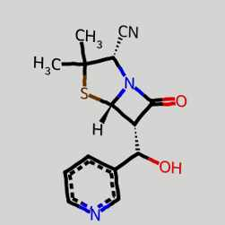 CC1(C)S[C@H]2[C@@H](C(O)c3cccnc3)C(=O)N2[C@H]1C#N